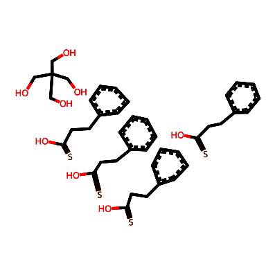 OC(=S)CCc1ccccc1.OC(=S)CCc1ccccc1.OC(=S)CCc1ccccc1.OC(=S)CCc1ccccc1.OCC(CO)(CO)CO